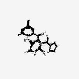 Cc1cc(C)cc(C(=O)c2c(C(C)C)c(=O)[nH]c(=O)n2C(C)C2CCCC2)c1